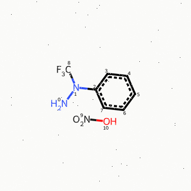 NN(c1ccccc1)C(F)(F)F.O=[N+]([O-])O